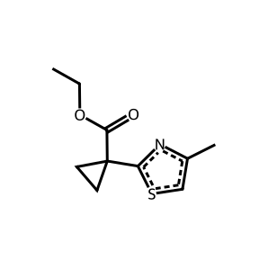 CCOC(=O)C1(c2nc(C)cs2)CC1